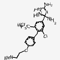 CNCCOc1ccc(-c2c(Cl)cc(C3(N)N=C(N)NN3)cc2C(F)(F)F)cc1.Cl